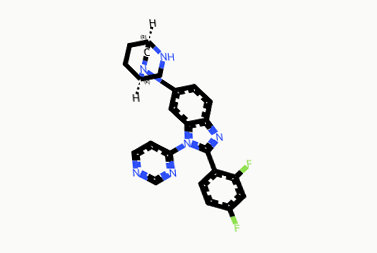 Fc1ccc(-c2nc3ccc(N4C[C@H]5CC[C@@H]4CN5)cc3n2-c2ccncn2)c(F)c1